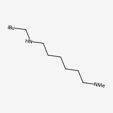 CCC(C)CNCCCCCCNC